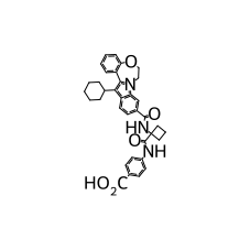 O=C(O)c1ccc(NC(=O)C2(NC(=O)c3ccc4c(C5CCCCC5)c5n(c4c3)CCOc3ccccc3-5)CCC2)cc1